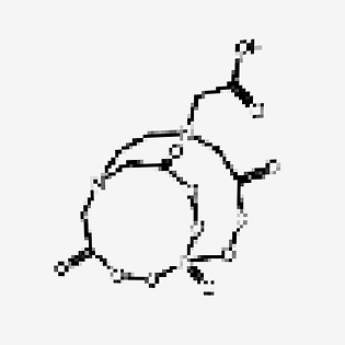 O=C(O)CN1CCN2CC(=O)OOP(=O)(OOC(=O)C1)OOC(=O)C2